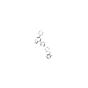 CN1CCC(c2cc(C3C=NC(N4CCN(Cc5c(F)cccc5F)CC4)=CC3)c3c(C#N)cnn3c2)CC1